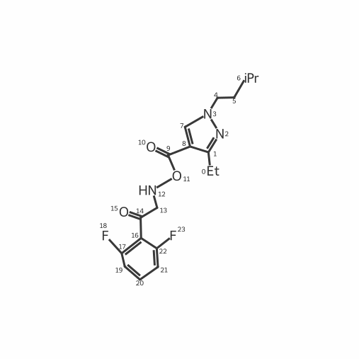 CCc1nn(CCC(C)C)cc1C(=O)ONCC(=O)c1c(F)cccc1F